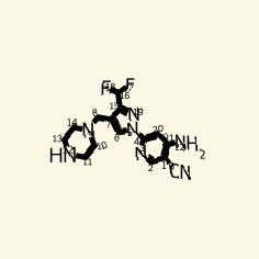 N#Cc1cnc(-n2cc(CN3CCNCC3)c(C(F)F)n2)cc1N